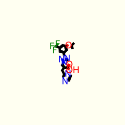 CC(C)Oc1cc(-c2ncn(/C=C(/Cc3cnccn3)C(=O)O)n2)cc(C(F)(F)F)c1